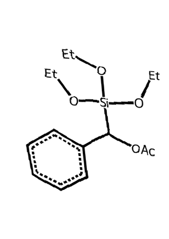 CCO[Si](OCC)(OCC)C(OC(C)=O)c1ccccc1